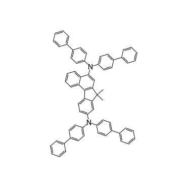 CC1(C)c2cc(N(c3ccc(-c4ccccc4)cc3)c3ccc(-c4ccccc4)cc3)ccc2-c2c1cc(N(c1ccc(-c3ccccc3)cc1)c1ccc(-c3ccccc3)cc1)c1ccccc21